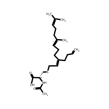 C=CCC/C(=C/CSC[C@H](NC(C)=O)C(=O)O)CC/C=C(\C)CCC=C(C)C